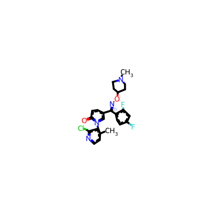 Cc1ccnc(Cl)c1-n1cc(/C(=N/OC2CCN(C)CC2)c2ccc(F)cc2F)ccc1=O